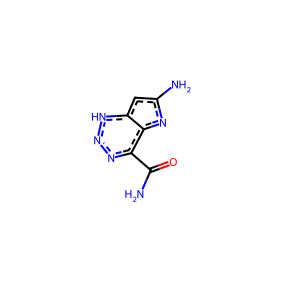 NC(=O)c1nn[nH]c2cc(N)nc1-2